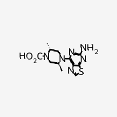 C[C@@H]1CN(c2nc(N)nc3scnc23)[C@@H](C)CN1C(=O)O